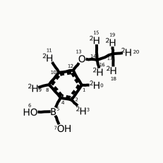 [2H]c1c([2H])c(B(O)O)c([2H])c([2H])c1OC([2H])([2H])C([2H])([2H])[2H]